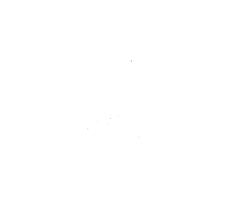 O=C(NCCC(=O)N1[C@@H]2CC[C@H]1C[C@H](Nc1ccc3c(=O)[nH]ccc3c1)C2)c1ccc[nH]1